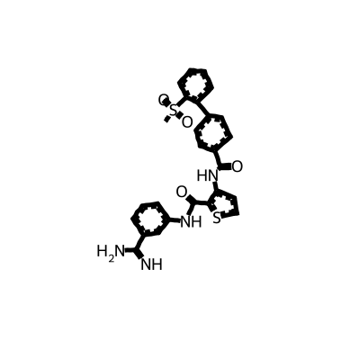 CS(=O)(=O)c1ccccc1-c1ccc(C(=O)Nc2ccsc2C(=O)Nc2cccc(C(=N)N)c2)cc1